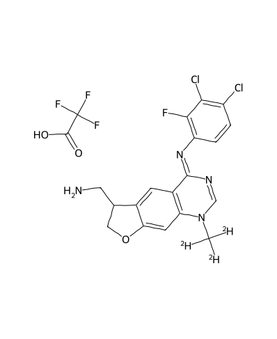 O=C(O)C(F)(F)F.[2H]C([2H])([2H])n1cn/c(=N\c2ccc(Cl)c(Cl)c2F)c2cc3c(cc21)OCC3CN